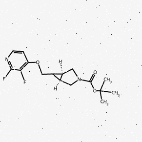 CC(C)(C)OC(=O)N1C[C@@H]2C(COc3ccnc(F)c3F)[C@@H]2C1